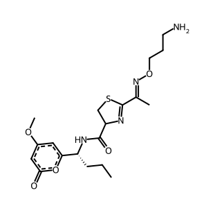 CCC[C@@H](NC(=O)C1CSC(/C(C)=N/OCCCN)=N1)c1cc(OC)cc(=O)o1